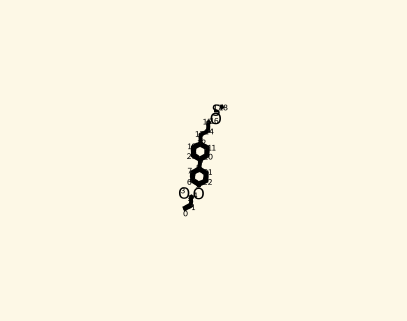 C=CC(=O)Oc1ccc(-c2ccc(CCCOSC)cc2)cc1